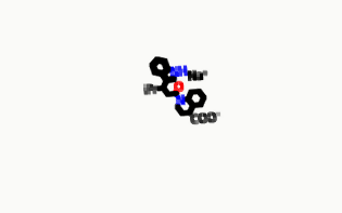 CC(C)C(CC(=O)N1CCC(C(=O)[O-])C2CCCCC21)c1c[nH]c2ccccc12.[Na+]